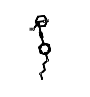 COCCOc1ccc(C#CC2(O)CN3CCC2CC3)cc1